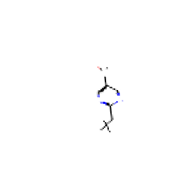 CB(O)c1cnc(CC(C)(C)C)nc1